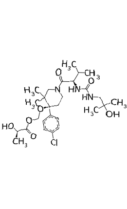 CC(C)[C@@H](NC(=O)NCC(C)(C)O)C(=O)N1CC[C@](OCOC(=O)[C@@H](C)O)(c2ccc(Cl)cc2)C(C)(C)C1